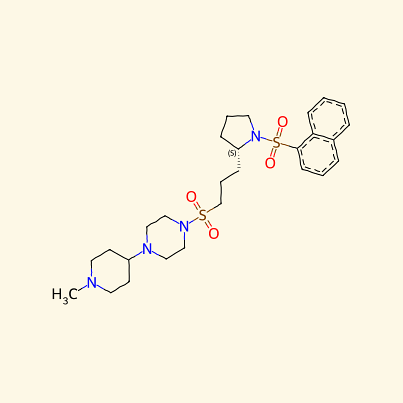 CN1CCC(N2CCN(S(=O)(=O)CCC[C@@H]3CCCN3S(=O)(=O)c3cccc4ccccc34)CC2)CC1